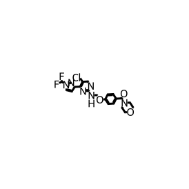 O=C(c1ccc(OCNc2ncc(Cl)c(-c3ccn(C(F)F)n3)n2)cc1)N1CCOCC1